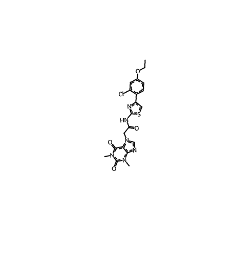 CCOc1ccc(-c2csc(NC(=O)Cn3cnc4c3c(=O)n(C)c(=O)n4C)n2)c(Cl)c1